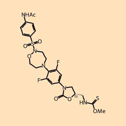 COC(=S)NC[C@H]1CN(c2cc(F)c(N3CCON(S(=O)(=O)c4ccc(NC(C)=O)cc4)CC3)c(F)c2)C(=O)O1